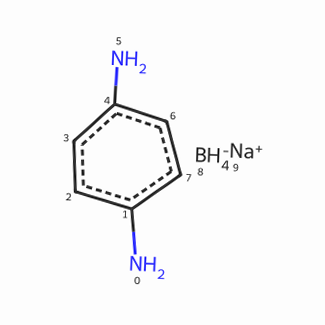 Nc1ccc(N)cc1.[BH4-].[Na+]